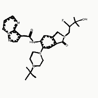 CC(C)(O)C(F)CN1Cc2cc(NC(=O)c3cnn4cccnc34)c(N3CCN(C(C)(C)C)CC3)cc2C1=O